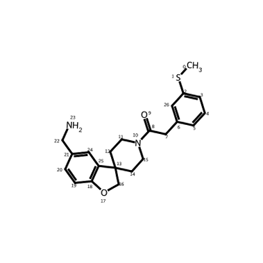 CSc1cccc(CC(=O)N2CCC3(CC2)COc2ccc(CN)cc23)c1